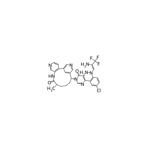 CC1CCC[C@H](n2cnc(-c3cc(Cl)ccc3N(N)/C=C(\N)C(F)(F)F)cc2=O)c2cncc(c2)-c2ccncc2NC1=O